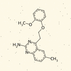 COc1ccccc1OCCc1nc(N)nc2ccc(C)cc12